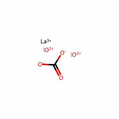 O=C([O-])[O-].[La+3].[O+2].[O+2]